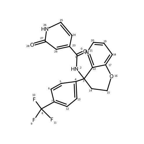 O=C(NC1(c2ccc(C(F)(F)F)cc2)CCOc2cccnc21)c1cc[nH]c(=O)c1